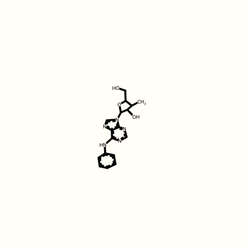 CC1C(CO)OC(n2cnc3c(Nc4ccccc4)ncnc32)C1O